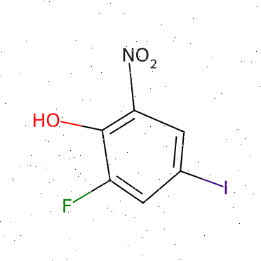 O=[N+]([O-])c1cc(I)cc(F)c1O